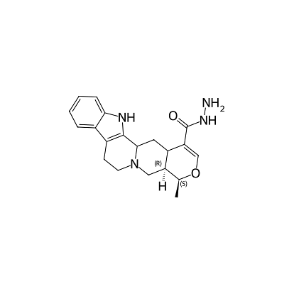 C[C@@H]1OC=C(C(=O)NN)C2CC3c4[nH]c5ccccc5c4CCN3C[C@@H]21